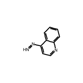 N=Nc1ccnc2ccccc12